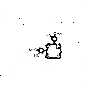 COc1ccc(C2=C3C=CC(=N3)C=C3C=CC(=N3)C=C3C=CC(=N3)C(c3ccc(OC)c(O)c3)=C3C=CC2=N3)cc1O